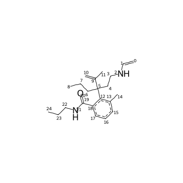 C=CNCCC(CCC)(C(=C)C)c1c(C)cccc1C(=O)NCCC